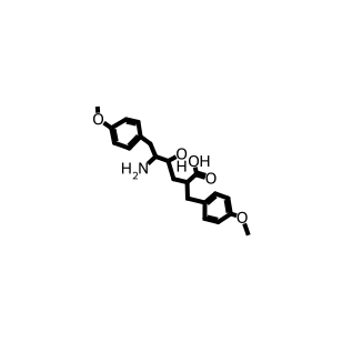 COc1ccc(CC(CC(O)C(N)Cc2ccc(OC)cc2)C(=O)O)cc1